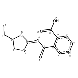 CCC1C[N]C(=NC(=O)c2cnccc2C(=O)O)S1